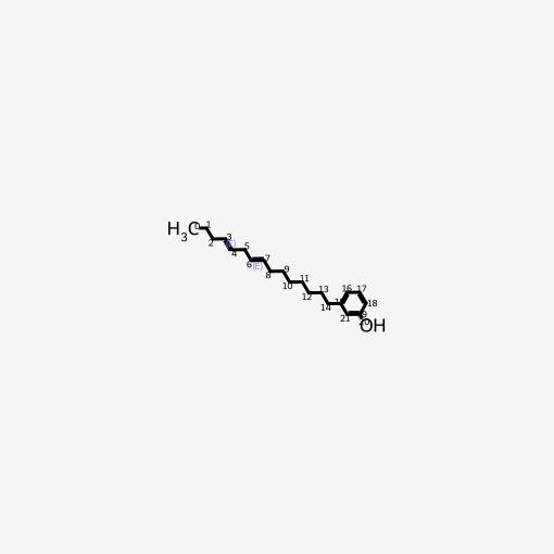 CCC/C=C/C/C=C/CCCCCCCc1cccc(O)c1